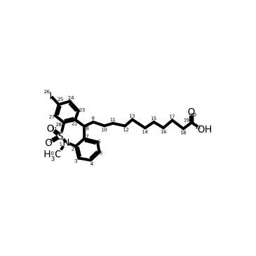 CN1c2ccccc2C(CCCCCCCCCCC(=O)O)c2ccc(I)cc2S1(=O)=O